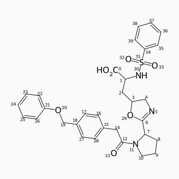 O=C(O)C(CC1CN=C(C2CCCN2C(=O)Cc2ccc(COc3ccccc3)cc2)O1)NS(=O)(=O)c1ccccc1